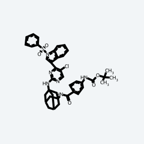 CC(C)(C)OC(=O)Nc1ccc(C(=O)NC23CC4CC(C2)CC(Nc2ncc(Cl)c(-c5cn(S(=O)(=O)c6ccccc6)c6ccccc56)n2)(C4)C3)cc1